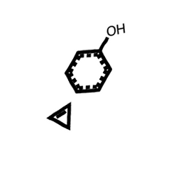 C1=CC1.Oc1ccccc1